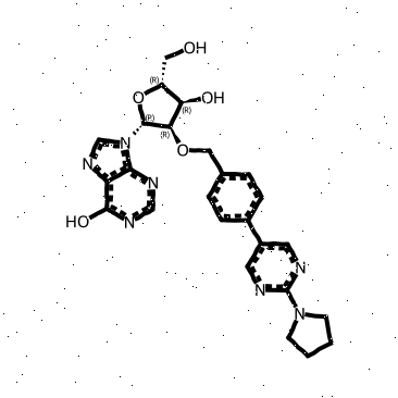 OC[C@H]1O[C@@H](n2cnc3c(O)ncnc32)[C@H](OCc2ccc(-c3cnc(N4CCCC4)nc3)cc2)[C@@H]1O